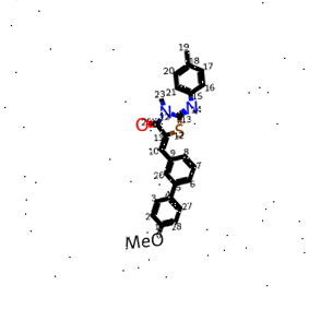 COc1ccc(-c2cccc(/C=C3\S/C(=N/c4ccc(C)cc4)N(C)C3=O)c2)cc1